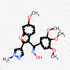 COc1ccc2c(/C(=N/O)c3cc(OC)c(OC)c(OC)c3)c(-c3cnn(C)c3)oc2c1